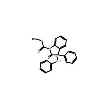 CC(C)(C)OC(=O)N1C(=O)[C@@](Nc2ccccc2)(c2ccccc2)c2ccccc21